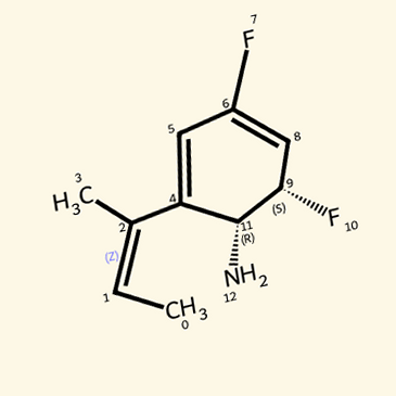 C/C=C(/C)C1=CC(F)=C[C@H](F)[C@@H]1N